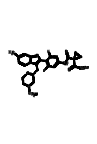 COC(=O)C1(C(=O)Nc2cc(F)c(-c3nc4cc(C)ccn4c3C[C@H]3CN(C(=O)O)CCO3)c(F)c2)CC1